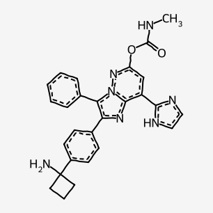 CNC(=O)Oc1cc(-c2ncc[nH]2)c2nc(-c3ccc(C4(N)CCC4)cc3)c(-c3ccccc3)n2n1